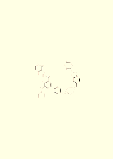 CCN(c1cc(-c2ccc(CN3CCN(Cc4ccc5c(c4)CN(C4CCC(=O)NC4=O)C5=O)CC3)cc2)cc(C(=O)NCc2c(C)cc(C)[nH]c2=O)c1C)C1CCOCC1